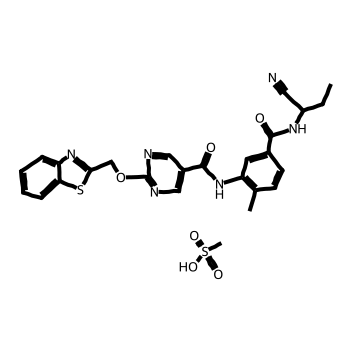 CCC(C#N)NC(=O)c1ccc(C)c(NC(=O)c2cnc(OCc3nc4ccccc4s3)nc2)c1.CS(=O)(=O)O